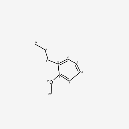 CCCc1ccccc1OC